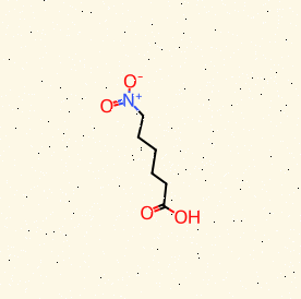 O=C(O)CCCCC[N+](=O)[O-]